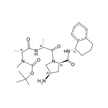 C[C@H](C(=O)N[C@H](C)C(=O)N1C[C@H](N)C[C@@H]1C(=O)N[C@H]1CCCc2ccccc21)N(C)C(=O)OC(C)(C)C